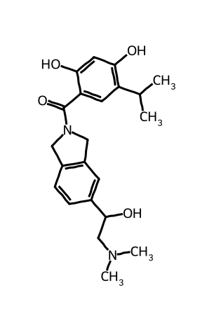 CC(C)c1cc(C(=O)N2Cc3ccc(C(O)CN(C)C)cc3C2)c(O)cc1O